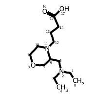 CCN(CC)CC1COCCN1CCCC(=O)O